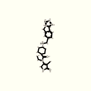 CC1=C(N2CC[C@]3(CC[C@@H](NCc4ccc5c(c4)Cn4nnnc4-5)CC3)C2=O)COC1=O